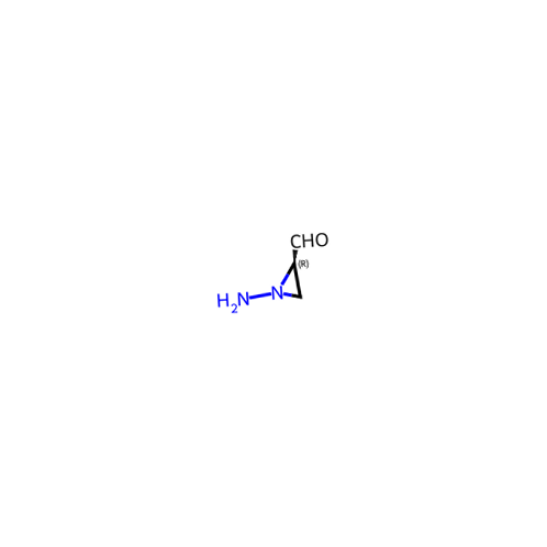 NN1C[C@@H]1C=O